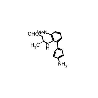 CNc1cccc(-c2ccc(N)cc2)c1N[C@H](C)CC=O